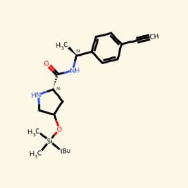 C#Cc1ccc([C@H](C)NC(=O)[C@@H]2CC(O[Si](C)(C)C(C)(C)C)CN2)cc1